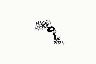 CC1(C)OB(c2ccc(OCCCS(C)(=O)=O)cc2)OC1(C)C